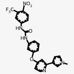 Cn1ccc(-c2cc(Oc3cccc(NC(=O)Nc4ccc([N+](=O)[O-])c(C(F)(F)F)c4)c3)ccn2)c1